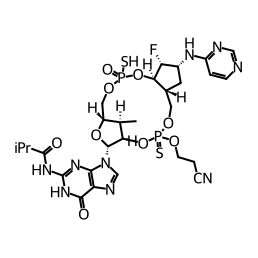 CC(C)C(=O)Nc1nc2c(ncn2[C@@H]2O[C@@H]3COP(=O)(S)O[C@@H]4[C@@H](COP(=S)(OCCC#N)O[C@@H]2[C@@H]3C)C[C@@H](Nc2ccncn2)[C@H]4F)c(=O)[nH]1